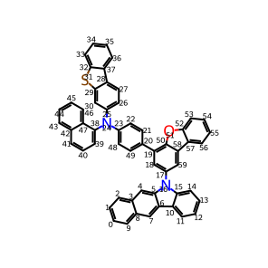 c1ccc2cc3c(cc2c1)c1ccccc1n3-c1cc(-c2ccc(N(c3ccc4c(c3)sc3ccccc34)c3cccc4ccccc34)cc2)c2oc3ccccc3c2c1